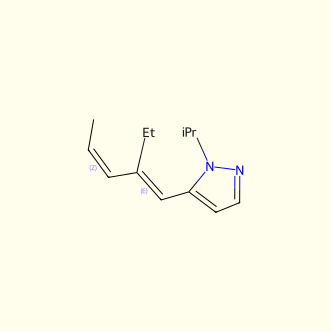 C/C=C\C(=C\c1ccnn1C(C)C)CC